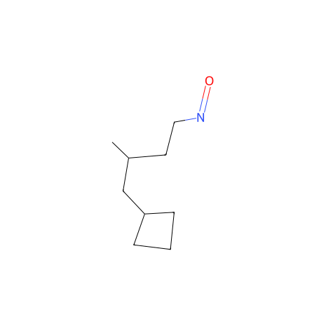 CC(CCN=O)CC1CCC1